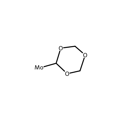 [Mo][CH]1OCOCO1